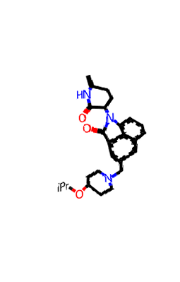 C=C1CCC(N2C(=O)c3cc(CN4CCC(OC(C)C)CC4)cc4cccc2c34)C(=O)N1